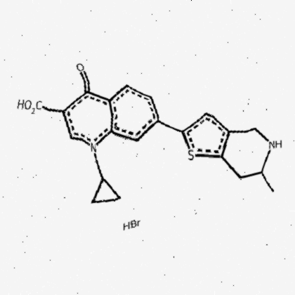 Br.CC1Cc2sc(-c3ccc4c(=O)c(C(=O)O)cn(C5CC5)c4c3)cc2CN1